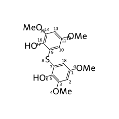 COc1cc(OC)c(O)c(Sc2cc(OC)cc(OC)c2O)c1